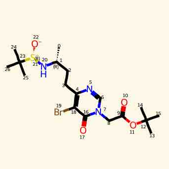 C[C@H](CCc1ncn(CC(=O)OC(C)(C)C)c(=O)c1Br)N[S@@+]([O-])C(C)(C)C